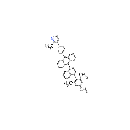 Cc1cc(C)c(-c2ccc(C3=c4ccccc4=C(C4=CC=C(c5cccnc5C)CC4)C4C=CC=CC34)c3ccccc23)c(C)c1